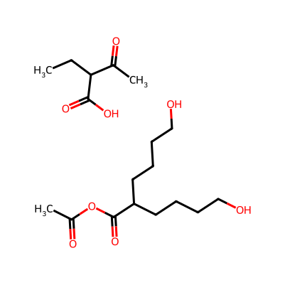 CC(=O)OC(=O)C(CCCCO)CCCCO.CCC(C(C)=O)C(=O)O